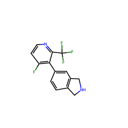 Fc1ccnc(C(F)(F)F)c1-c1ccc2c(c1)CNC2